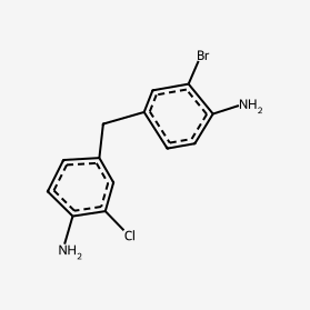 Nc1ccc(Cc2ccc(N)c(Br)c2)cc1Cl